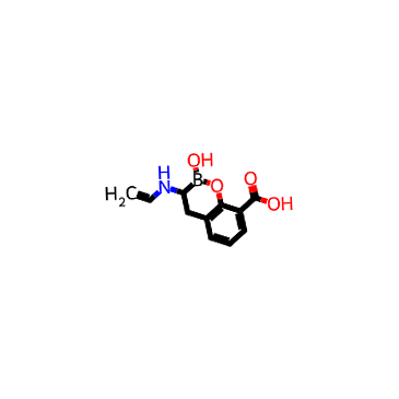 C=CNC1Cc2cccc(C(=O)O)c2OB1O